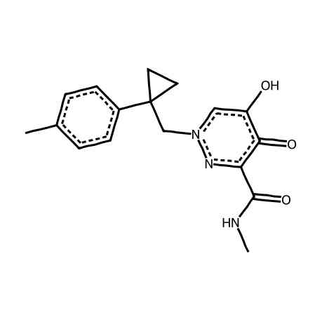 CNC(=O)c1nn(CC2(c3ccc(C)cc3)CC2)cc(O)c1=O